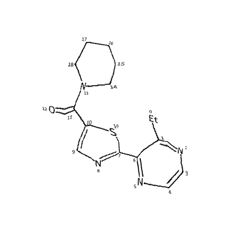 CCc1nccnc1-c1ncc(C(=O)N2CCCCC2)s1